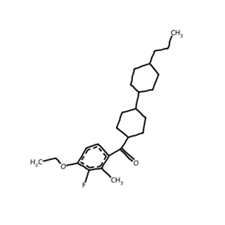 CCCC1CCC(C2CCC(C(=O)c3ccc(OCC)c(F)c3C)CC2)CC1